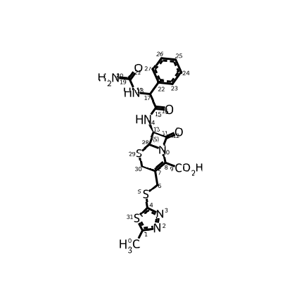 Cc1nnc(SCC2=C(C(=O)O)N3C(=O)[C@H](NC(=O)C(NC(N)=O)c4ccccc4)C3SC2)s1